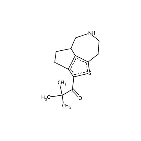 CC(C)(C)C(=O)c1sc2c3c1CCC3CNCC2